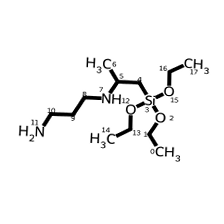 CCO[Si](CC(C)NCCCN)(OCC)OCC